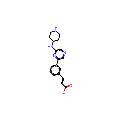 O=C(O)C=Cc1cccc(-c2cncc(NC3CCNCC3)n2)c1